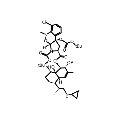 CC(=O)O[C@@H]1C(C)=C[C@@H]2[C@H]([C@@H](C)CNC3CC3)CC[C@@H](C)[C@]2(O)[C@H]1OC(=O)[C@@H]1C[C@@]2(OC(=O)OC(C)(C)C)c3cccc(Cl)c3N(C)O[C@H]2N1C(=O)OC(C)(C)C